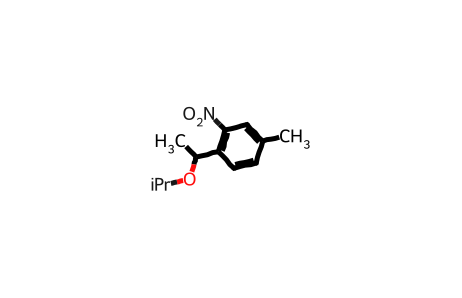 Cc1ccc(C(C)OC(C)C)c([N+](=O)[O-])c1